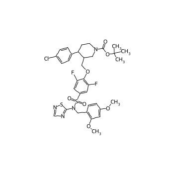 COc1ccc(CN(c2ncns2)S(=O)(=O)c2cc(F)c(OCC3CN(C(=O)OC(C)(C)C)CCC3c3ccc(Cl)cc3)c(F)c2)c(OC)c1